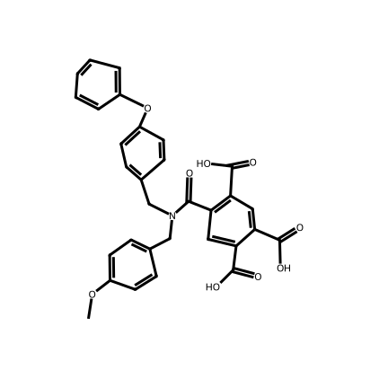 COc1ccc(CN(Cc2ccc(Oc3ccccc3)cc2)C(=O)c2cc(C(=O)O)c(C(=O)O)cc2C(=O)O)cc1